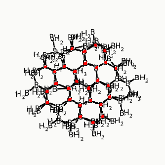 BB(B)B(B)B(B(B(B)B)B(B)B)B(B(B(B)B)B(B)B)B(B(B(B(B(B)B)B(B)B)B(B(B)B)B(B)B)B(B(B(B)B)B(B)B)B(B(B)B)B(B)B)B(B(B(B(B(B)B)B(B)B)B(B(B)B)B(B)B)B(B(B(B)B)B(B)B)B(B(B)B)B(B)B)B(B(B(B(B)B)B(B)B)B(B(B)B)B(B)B)B(B(B(B)B)B(B)B)B(B(B)B)B(B)B